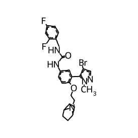 Cn1ncc(Br)c1-c1cc(NC(=O)NCc2ccc(F)cc2F)ccc1OCCN1C2CCC1CC2